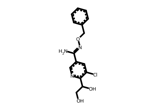 N/C(=N\OCc1ccccc1)c1cnc(C(O)CO)c(Cl)c1